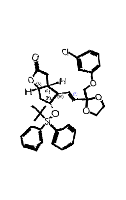 CC(C)(C)[Si](O[C@@H]1C[C@@H]2OC(=O)C[C@@H]2[C@H]1/C=C/C1(COc2cccc(Cl)c2)OCCO1)(c1ccccc1)c1ccccc1